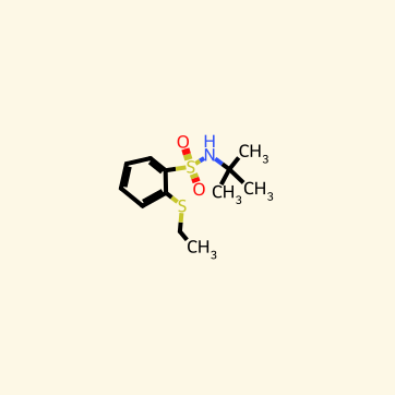 CCSc1ccccc1S(=O)(=O)NC(C)(C)C